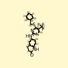 O=C1CCc2cc(Nc3ncc(C(F)(F)F)c(SCc4ccccc4)n3)ccc2N1